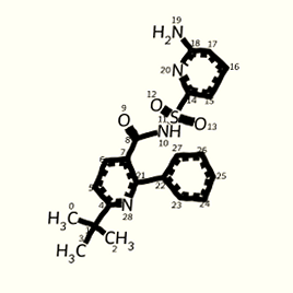 CC(C)(C)c1ccc(C(=O)NS(=O)(=O)c2cccc(N)n2)c(-c2ccccc2)n1